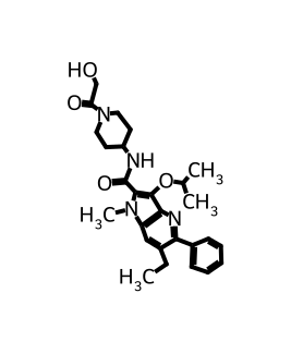 CCc1cc2c(nc1-c1ccccc1)c(OC(C)C)c(C(=O)NC1CCN(C(=O)CO)CC1)n2C